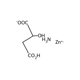 N.O=C(O)CC(O)C(=O)[O-].[Zn+]